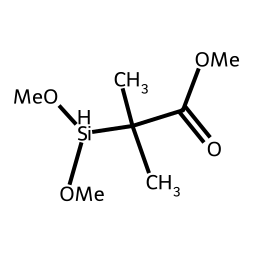 COC(=O)C(C)(C)[SiH](OC)OC